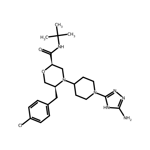 CC(C)(C)NC(=O)[C@H]1CN(C2CCN(c3nnc(N)[nH]3)CC2)[C@@H](Cc2ccc(Cl)cc2)CO1